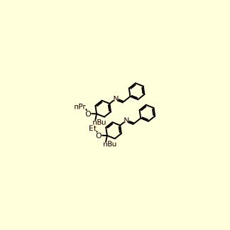 CCCCC1(OCC)C=CC(N=Cc2ccccc2)=CC1.CCCCC1(OCCC)C=CC(N=Cc2ccccc2)=CC1